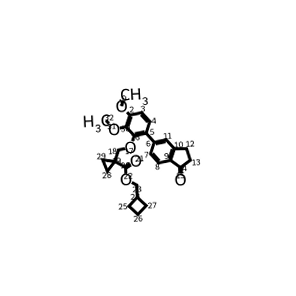 COc1ccc(-c2ccc3c(c2)CCC3=O)c(OCC2(C(=O)OCC3CCC3)CC2)c1OC